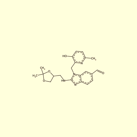 Cc1ccc(O)c(Cn2c(NCC3COC(C)(C)O3)nc3ccc(C=O)cc32)n1